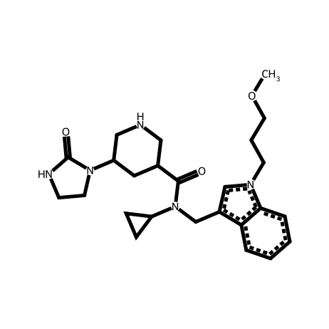 COCCCn1cc(CN(C(=O)C2CNCC(N3CCNC3=O)C2)C2CC2)c2ccccc21